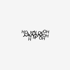 CC(C)C[C@@H](CO)Nc1ncnc2c1ncn2[C@@H]1O[C@H](CO)C(O)[C@@H]1O